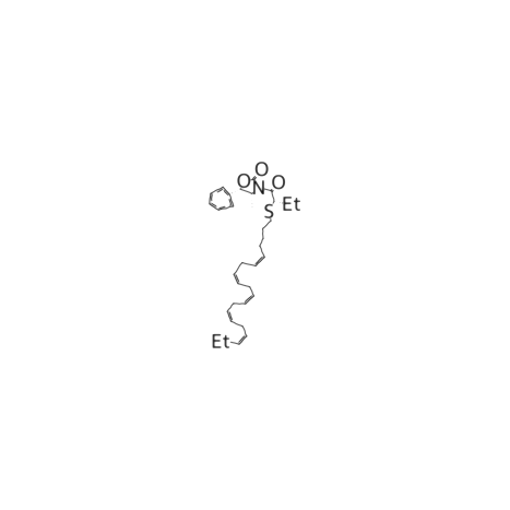 CC/C=C\C/C=C\C/C=C\C/C=C\C/C=C\CCCCS[C@@H](CC)C(=O)N1C(=O)O[C@@H](c2ccccc2)[C@H]1C